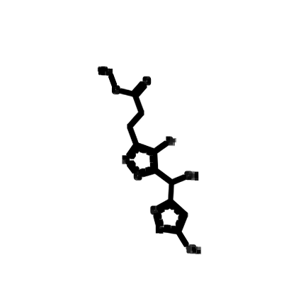 CC(C)(C)OC(=O)CCc1noc(C(O)c2cc(C(C)(C)C)no2)c1Br